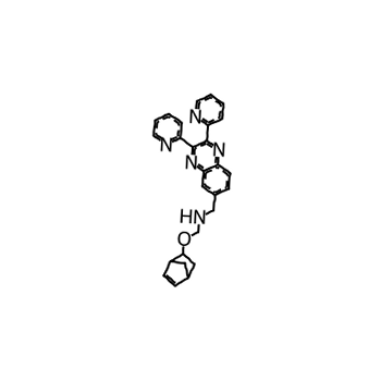 C1=CC2CC1CC2OCNCc1ccc2nc(-c3ccccn3)c(-c3ccccn3)nc2c1